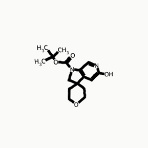 CC(C)(C)OC(=O)N1CC2(CCOCC2)c2cc(O)ncc21